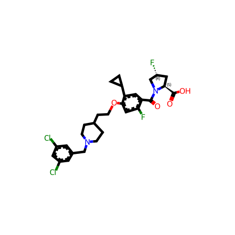 O=C(O)[C@@H]1C[C@@H](F)CN1C(=O)c1cc(C2CC2)c(OCCC2CCN(Cc3cc(Cl)cc(Cl)c3)CC2)cc1F